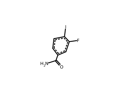 NC(=O)c1ccc(I)c(F)c1